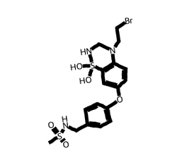 CS(=O)(=O)NCc1ccc(Oc2ccc3c(c2)S(O)(O)NCN3CCBr)cc1